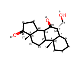 C[C@]12CCCCC1[C@@H](CO)C(=O)C1C2CC[C@]2(C)C(=O)CCC12